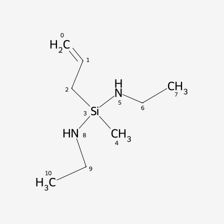 C=CC[Si](C)(NCC)NCC